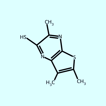 Cc1nc2sc(C)c(C)c2nc1S